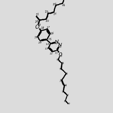 CCCCCCCCCCOc1ccc(-c2ccc(OC(C)CCCCCC)cc2)nn1